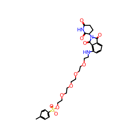 Cc1ccc(S(=O)(=O)OCCOCCOCCOCCOCCNc2cccc3c2C(=O)N(C2CCC(=O)NC2=O)C3=O)cc1